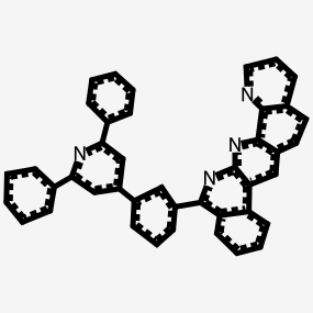 c1ccc(-c2cc(-c3cccc(-c4nc5nc6c(ccc7cccnc76)cc5c5ccccc45)c3)cc(-c3ccccc3)n2)cc1